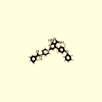 Nc1n[nH]c2nc(N3CCC(NC(=O)c4ccccc4)CC3)cc(-c3ccc(Oc4ccccc4)cc3)c12